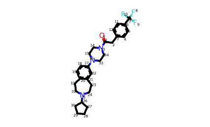 O=C(Cc1ccc(C(F)(F)F)cc1)N1CCN(c2ccc3c(c2)CCN(C2CCCC2)CC3)CC1